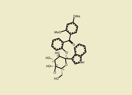 COc1ccc(C(=O)c2ccccc2O[C@]2(c3c[nH]c4ccccc34)O[C@H](CO)[C@@](O)(Cl)[C@H](O)[C@H]2O)c(OC)c1